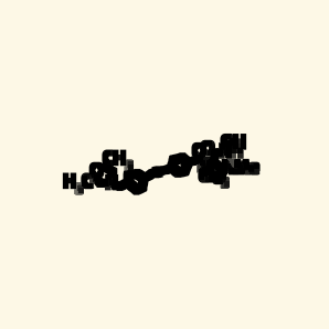 CNC(=O)C(C(=O)NO)N(C)C(=O)c1ccc(C#Cc2ccc(CN3C[C@@H](C)O[C@@H](C)C3)cc2)cc1